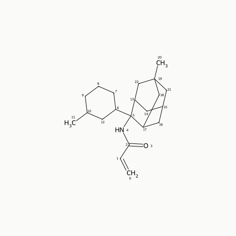 C=CC(=O)NC1(C2CCCC(C)C2)C2CC3CC1CC(C)(C3)C2